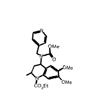 CCOC(=O)N1c2cc(OC)c(OC)cc2C(N(Cc2ccncc2)C(=O)OC)CC1C